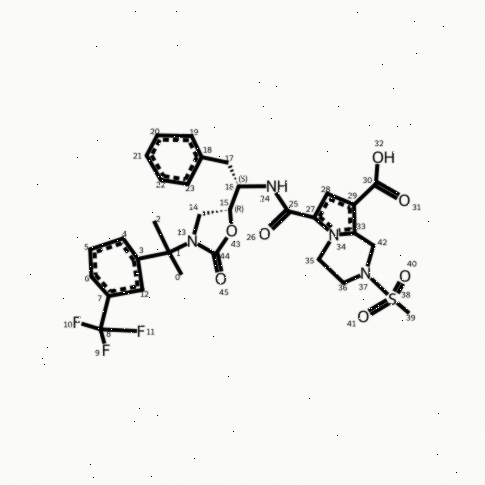 CC(C)(c1cccc(C(F)(F)F)c1)N1C[C@H]([C@H](Cc2ccccc2)NC(=O)c2cc(C(=O)O)c3n2CCN(S(C)(=O)=O)C3)OC1=O